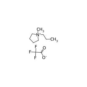 CCC[N+]1(C)CCCC1.O=C([O-])C(F)(F)F